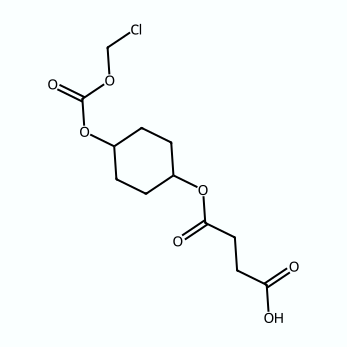 O=C(O)CCC(=O)OC1CCC(OC(=O)OCCl)CC1